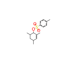 CC1=CC(C)CC(C)C1OS(=O)(=O)c1ccc(C)cc1